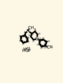 CN(Cc1ccccc1)C1CCN(c2ccc(C#N)cc2)CC1.Cl.Cl